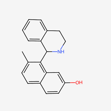 Cc1ccc2ccc(O)cc2c1C1NCCc2ccccc21